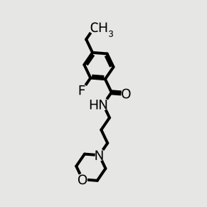 CCc1ccc(C(=O)NCCCN2CCOCC2)c(F)c1